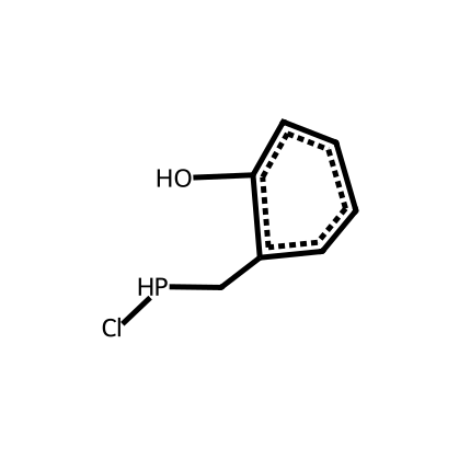 Oc1ccccc1CPCl